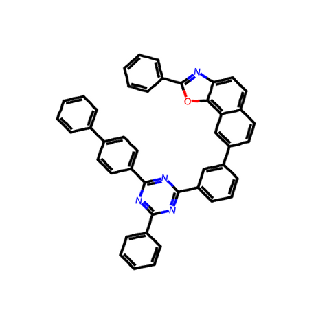 c1ccc(-c2ccc(-c3nc(-c4ccccc4)nc(-c4cccc(-c5ccc6ccc7nc(-c8ccccc8)oc7c6c5)c4)n3)cc2)cc1